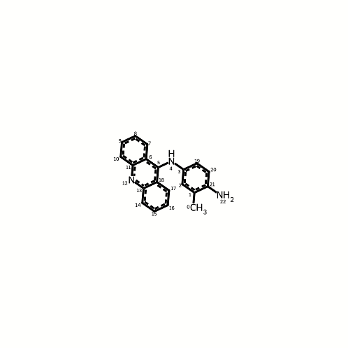 Cc1cc(Nc2c3ccccc3nc3ccccc23)ccc1N